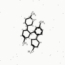 CC1=CCC(c2ccc(C)cc2C2CC(C)=CCC2C2CCC(C)OC2)CC1